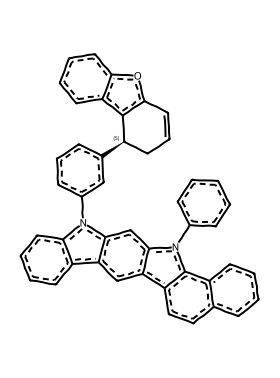 C1=Cc2oc3ccccc3c2[C@H](c2cccc(-n3c4ccccc4c4cc5c6ccc7ccccc7c6n(-c6ccccc6)c5cc43)c2)C1